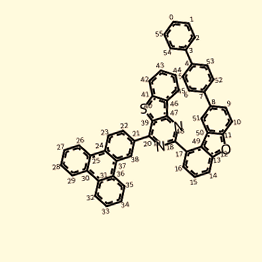 c1ccc(-c2ccc(-c3ccc4oc5cccc(-c6nc(-c7ccc8c9ccccc9c9ccccc9c8c7)c7sc8ccccc8c7n6)c5c4c3)cc2)cc1